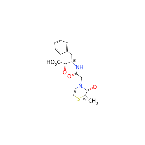 C[C@@H]1SC=CN(CC(=O)N[C@@H](Cc2ccccc2)C(=O)C(=O)O)C1=O